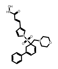 O=C(/C=C/c1ccn(S(=O)(=O)C2(CN3CCOCC3)C=CC=C(c3ccccc3)C2)c1)NO